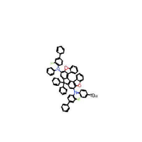 CC(C)(C)c1ccc(N(c2ccc(-c3ccccc3)cc2F)c2cc3c(c4c2oc2ccccc24)-c2c(cc(N(c4ccccc4)c4ccc(-c5ccccc5)cc4F)c4oc5ccccc5c24)C3(c2ccccc2)c2ccccc2)cc1